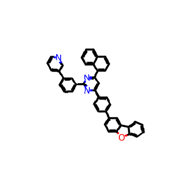 c1cncc(-c2cccc(-c3nc(-c4ccc(-c5ccc6oc7ccccc7c6c5)cc4)cc(-c4cccc5ccccc45)n3)c2)c1